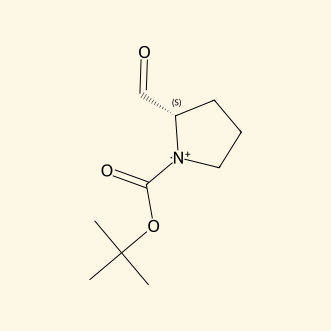 CC(C)(C)OC(=O)[N+]1CCC[C@H]1C=O